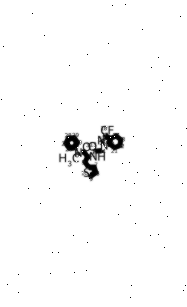 CN(C(=O)C(Cc1cccs1)NC(=O)Cn1nc(C(F)(F)F)c2c1CCCC2)c1ccccc1